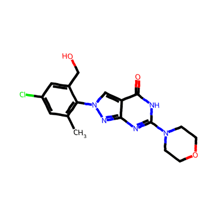 Cc1cc(Cl)cc(CO)c1-n1cc2c(=O)[nH]c(N3CCOCC3)nc2n1